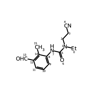 CCN(CCC#N)C(=O)Nc1cccc(C=O)c1C